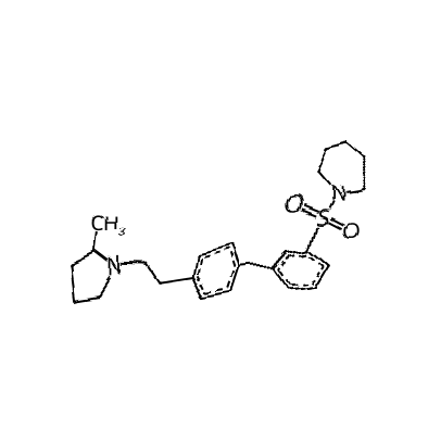 CC1CCCN1CCc1ccc(-c2cccc(S(=O)(=O)N3CCCCC3)c2)cc1